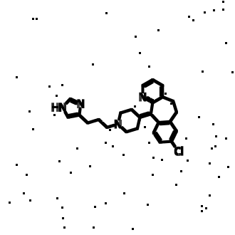 Clc1ccc2c(c1)CCc1cccnc1C2=C1CCN(CCCc2c[nH]cn2)CC1